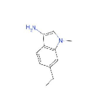 CCc1ccc2c(N)cn(C)c2c1